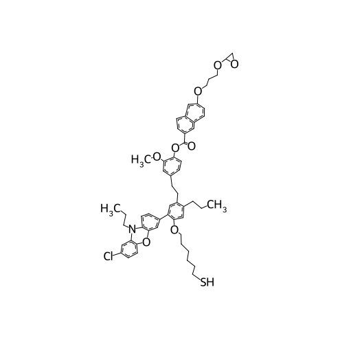 CCCc1cc(OCCCCCCS)c(-c2ccc3c(c2)Oc2ccc(Cl)cc2N3CCC)cc1CCc1ccc(OC(=O)c2ccc3cc(OCCCOC4CO4)ccc3c2)c(OC)c1